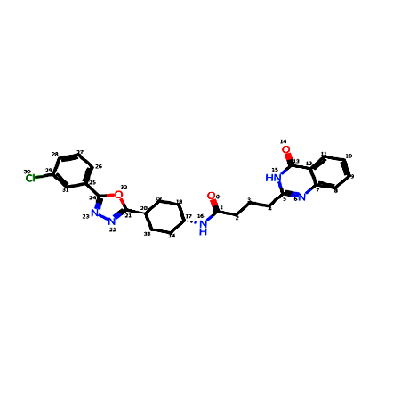 O=C(CCCc1nc2ccccc2c(=O)[nH]1)N[C@H]1CC[C@H](c2nnc(-c3cccc(Cl)c3)o2)CC1